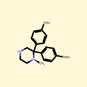 COc1ccc(C2(c3ccc(OC)cc3)CNCCN2C)cc1